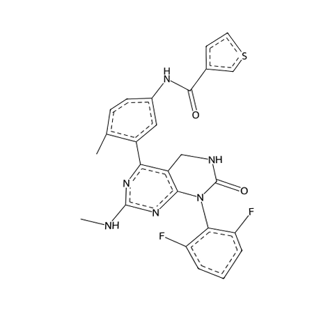 CNc1nc(-c2cc(NC(=O)c3ccsc3)ccc2C)c2c(n1)N(c1c(F)cccc1F)C(=O)NC2